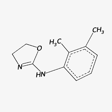 Cc1cccc(NC2=NCCO2)c1C